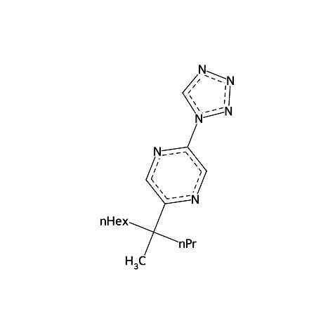 CCCCCCC(C)(CCC)c1cnc(-n2cnnn2)cn1